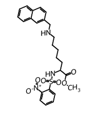 COC(=O)C(CCCCCNCc1ccc2ccccc2c1)NS(=O)(=O)c1ccccc1[N+](=O)[O-]